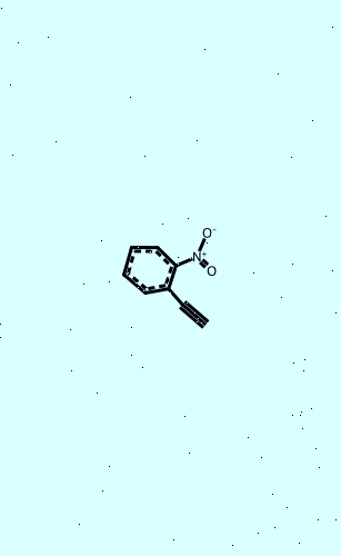 C#Cc1ccccc1[N+](=O)[O-]